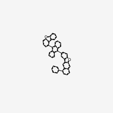 c1ccc(-c2cccc3cc4oc5ccc(-c6c7ccccc7c(-c7cccc8oc9ccccc9c78)c7ccccc67)cc5c4cc23)cc1